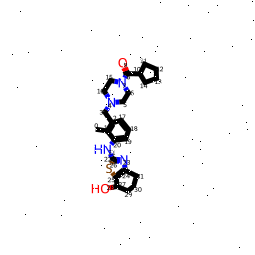 Cc1c(CN2CCN(C(=O)C3CCCC3)CC2)cccc1Nc1nc2c(s1)C(O)CCC2